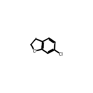 Clc1ccc2c(c1)OC[C]2